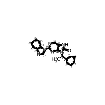 C[C@H](c1ccccc1)n1c(=O)[nH]c2cnc(-n3cnc4ccccc43)nc21